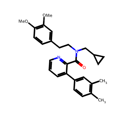 COc1ccc(CCN(CC2CC2)C(=O)c2ncccc2-c2ccc(C)c(C)c2)cc1OC